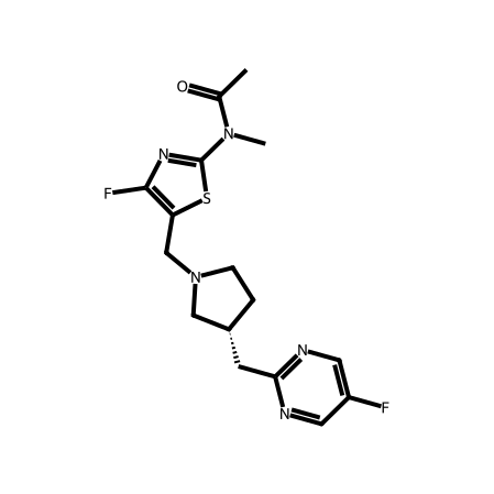 CC(=O)N(C)c1nc(F)c(CN2CC[C@H](Cc3ncc(F)cn3)C2)s1